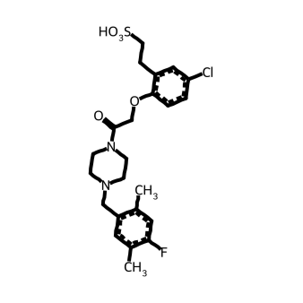 Cc1cc(CN2CCN(C(=O)COc3ccc(Cl)cc3CCS(=O)(=O)O)CC2)c(C)cc1F